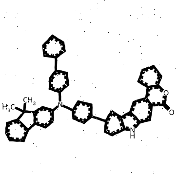 CC1(C)c2ccccc2-c2ccc(N(c3ccc(-c4ccccc4)cc3)c3ccc(-c4ccc5[nH]c6cc7c(=O)oc8ccccc8c7cc6c5c4)cc3)cc21